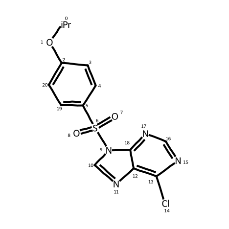 CC(C)Oc1ccc(S(=O)(=O)n2cnc3c(Cl)ncnc32)cc1